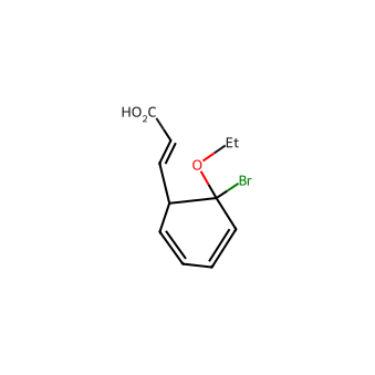 CCOC1(Br)C=CC=CC1/C=C/C(=O)O